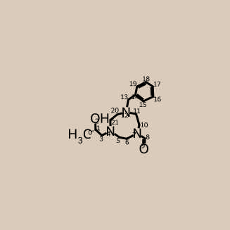 C[C@H](O)CN1CCN(C=O)CCN(Cc2ccccc2)CC1